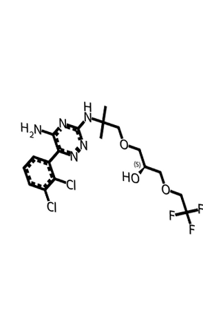 CC(C)(COC[C@H](O)COCC(F)(F)F)Nc1nnc(-c2cccc(Cl)c2Cl)c(N)n1